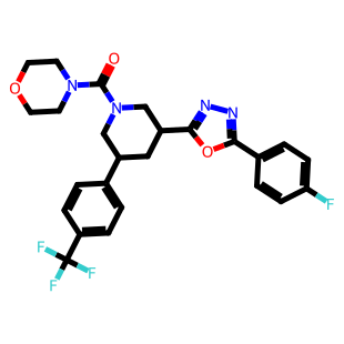 O=C(N1CCOCC1)N1CC(c2ccc(C(F)(F)F)cc2)CC(c2nnc(-c3ccc(F)cc3)o2)C1